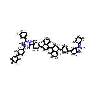 c1ccc(-c2ccc(C3N=C(c4ccc(-c5ccc(-c6ccc(-c7ccc(-c8ccc9ncn(-c%10ccccc%10)c9c8)cc7)c7ccccc67)c6ccccc56)cc4)NC(c4ccccc4)N3)cc2)cc1